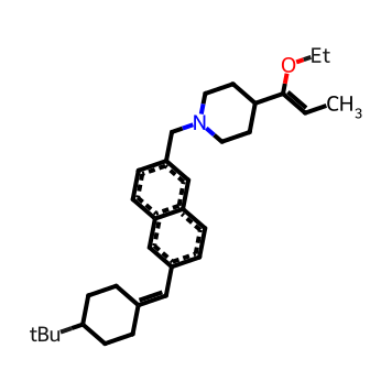 CC=C(OCC)C1CCN(Cc2ccc3cc(C=C4CCC(C(C)(C)C)CC4)ccc3c2)CC1